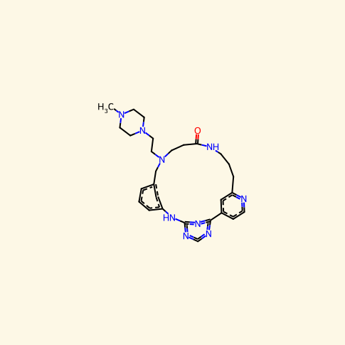 CN1CCN(CCN2CCC(=O)NCCCc3cc(ccn3)-c3ncnc(n3)Nc3cccc(c3)C2)CC1